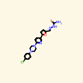 NC(=S)N/N=C/c1ccc(-c2ccc(N3CCN(c4ccc(Cl)cc4)CC3)nc2)o1